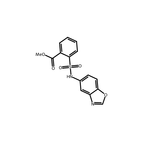 COC(=O)c1ccccc1S(=O)(=O)Nc1ccc2ocnc2c1